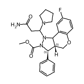 COC(=O)N1[C@H](c2ccccc2)[C@H]2COc3ccc(F)cc3C2N1C(CC(N)=O)N1CCCC1